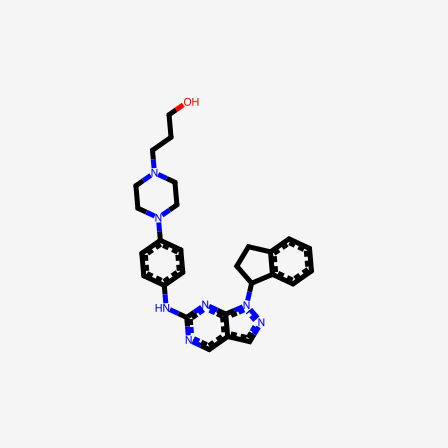 OCCCN1CCN(c2ccc(Nc3ncc4cnn(C5CCc6ccccc65)c4n3)cc2)CC1